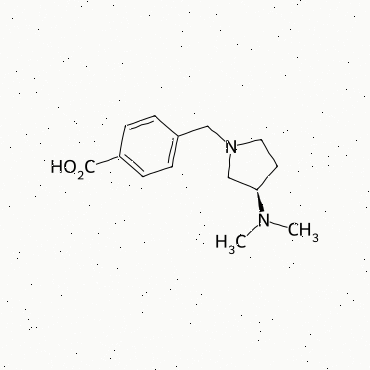 CN(C)[C@@H]1CCN(Cc2ccc(C(=O)O)cc2)C1